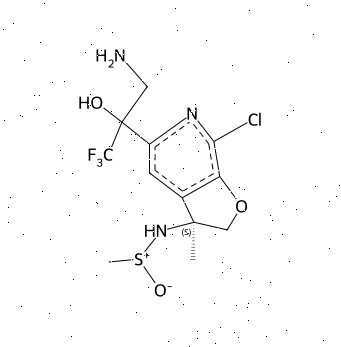 C[S+]([O-])N[C@]1(C)COc2c1cc(C(O)(CN)C(F)(F)F)nc2Cl